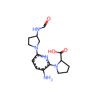 Nc1ccc(N2CCC(NC=O)C2)nc1N1CCCC1C(=O)O